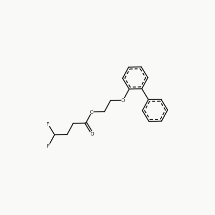 O=C(CCC(F)F)OCCOc1ccccc1-c1ccccc1